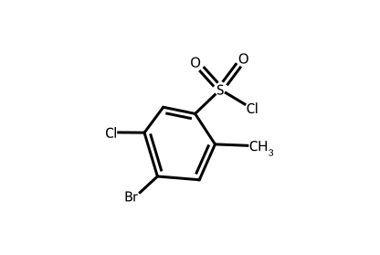 Cc1cc(Br)c(Cl)cc1S(=O)(=O)Cl